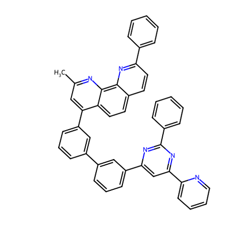 Cc1cc(-c2cccc(-c3cccc(-c4cc(-c5ccccn5)nc(-c5ccccc5)n4)c3)c2)c2ccc3ccc(-c4ccccc4)nc3c2n1